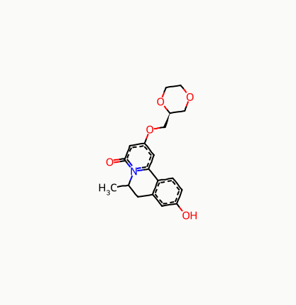 CC1Cc2cc(O)ccc2-c2cc(OC[C@@H]3COCCO3)cc(=O)n21